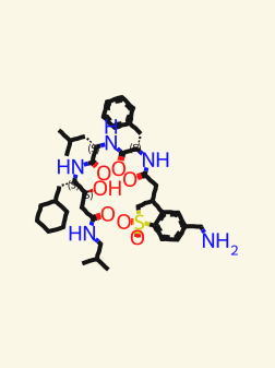 CC(C)CNC(=O)C[C@H](O)[C@H](CC1CCCCC1)NC(=O)[C@H](CC(C)C)NC(=O)[C@H](Cc1ccccc1)NC(=O)CC1CS(=O)(=O)c2ccc(CN)cc21